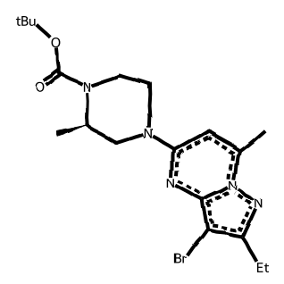 CCc1nn2c(C)cc(N3CCN(C(=O)OC(C)(C)C)[C@H](C)C3)nc2c1Br